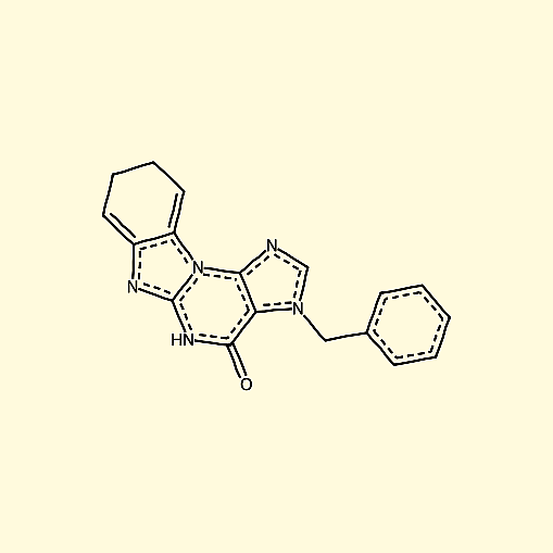 O=c1[nH]c2nc3c(n2c2ncn(Cc4ccccc4)c12)=CCCC=3